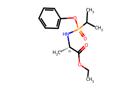 CCOC(=O)[C@H](C)NP(=O)(Oc1ccccc1)C(C)C